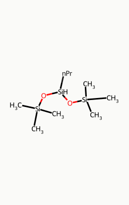 [CH2]CC[SiH](O[Si](C)(C)C)O[Si](C)(C)C